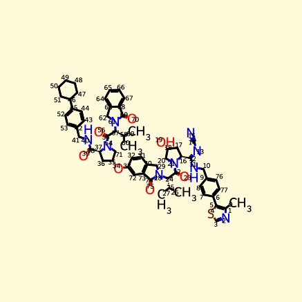 Cc1ncsc1-c1ccc(CN/C(=N/C#N)[C@@H]2C[C@@H](O)CN2C(=O)[C@H](C(C)C)N2Cc3ccc(O[C@@H]4C[C@@H](C(=O)NCc5ccc(C6CCCCC6)cc5)N(C(=O)[C@H](C(C)C)N5Cc6ccccc6C5=O)C4)cc3C2=O)cc1